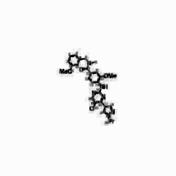 COc1cccc(CN(C)C(=O)c2ccc(Nc3ncc(Cl)c(-c4cnn(C(C)C)c4)n3)c(OC)c2)c1